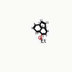 CCOc1ccc2c3c(cccc13)C=C2